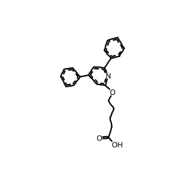 O=C(O)CCCCOc1cc(-c2ccccc2)cc(-c2ccccc2)n1